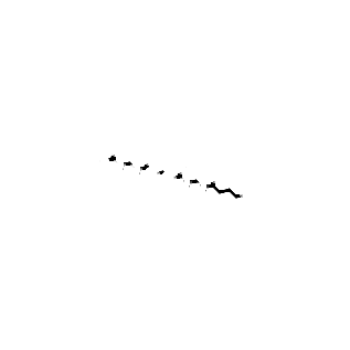 CCCCC(=O)NCNC(=O)OCOC(=O)NCNC(C)=O